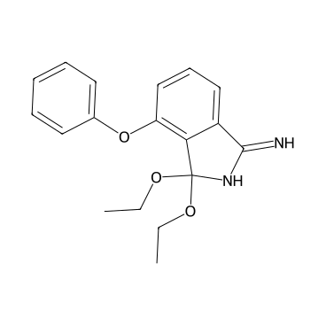 CCOC1(OCC)NC(=N)c2cccc(Oc3ccccc3)c21